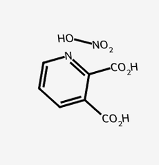 O=C(O)c1cccnc1C(=O)O.O=[N+]([O-])O